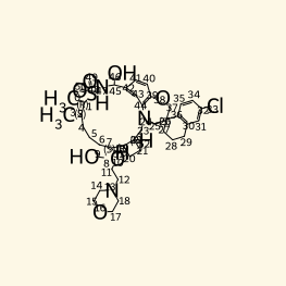 C[C@@H]1[C@@H](C)CCC[C@](CO)(OCCN2CCOCC2)[C@@H]2CC[C@H]2CN2C[C@@]3(CCCc4cc(Cl)ccc43)COc3ccc(cc32)C(O)NS1(=O)=O